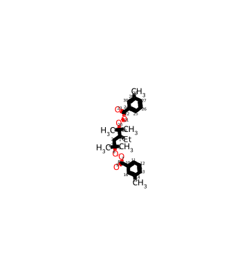 CCC(CC(C)(C)OOC(=O)c1cccc(C)c1)C(C)(C)OOC(=O)c1cccc(C)c1